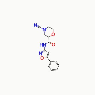 N#CN1CCOC(C(=O)Nc2cc(-c3ccccc3)on2)C1